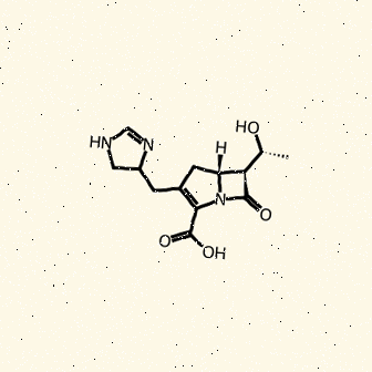 C[C@@H](O)[C@H]1C(=O)N2C(C(=O)O)=C(CC3CNC=N3)C[C@H]12